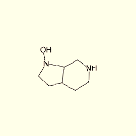 ON1CCC2CCNCC21